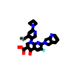 Cc1cc(N2CCC2)ncc1-n1cc(C(=O)O)c(=O)c2cc(F)c(N3Cc4cccnc4C3)nc21